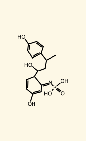 CC(CC(O)C1C=CC(O)=CC1=NP(=O)(O)O)c1ccc(O)cc1